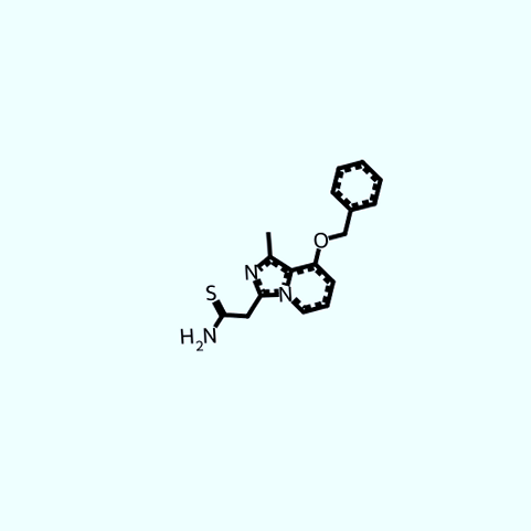 Cc1nc(CC(N)=S)n2cccc(OCc3ccccc3)c12